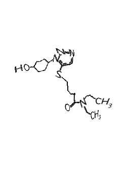 CCN(CC)C(=O)CCCSc1cnnn1C1CCC(O)CC1